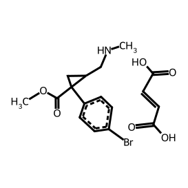 CNCC1CC1(C(=O)OC)c1ccc(Br)cc1.O=C(O)C=CC(=O)O